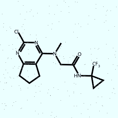 CN(CC(=O)NC1(C(F)(F)F)CC1)c1nc(Cl)nc2c1CCC2